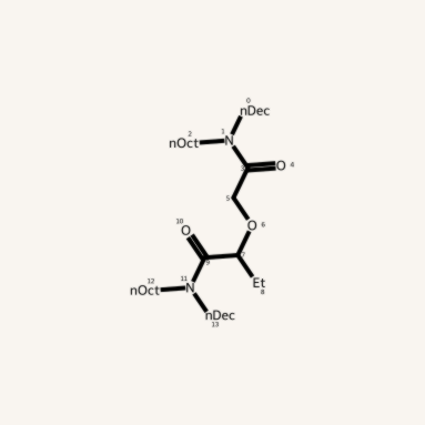 CCCCCCCCCCN(CCCCCCCC)C(=O)COC(CC)C(=O)N(CCCCCCCC)CCCCCCCCCC